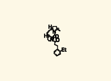 CCc1ccccc1CCC(=O)N1CC[C@H]2C=C[C@H]3CC[C@@H](C)N3C(=O)[C@H]21